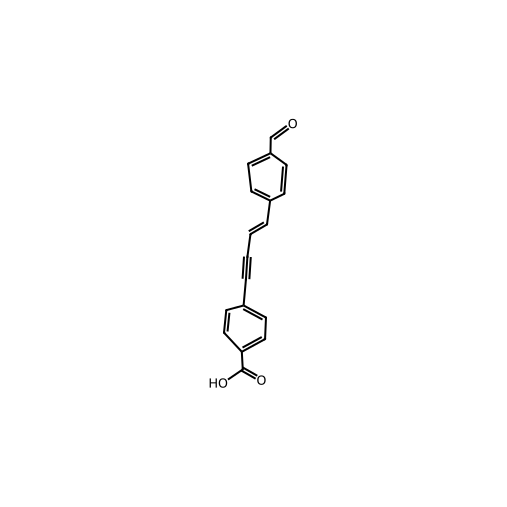 O=Cc1ccc(C=CC#Cc2ccc(C(=O)O)cc2)cc1